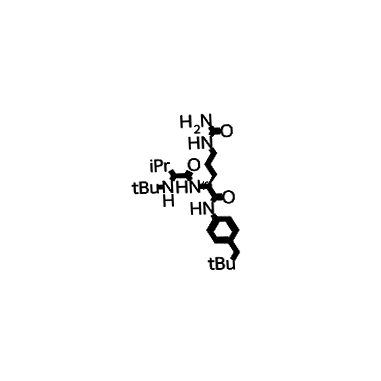 CC(C)C(NC(C)(C)C)C(=O)N[C@@H](CCCNC(N)=O)C(=O)Nc1ccc(CC(C)(C)C)cc1